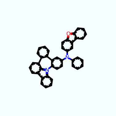 c1ccc(N(c2ccc3c(c2)-c2ccccc2-c2cccc4c5ccccc5n-3c24)c2ccc3oc4ccccc4c3c2)cc1